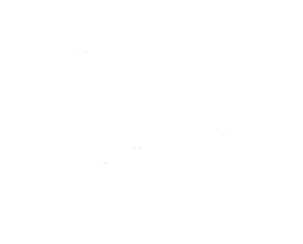 CCc1ccc(Oc2cc[c]cc2F)c(OC)c1